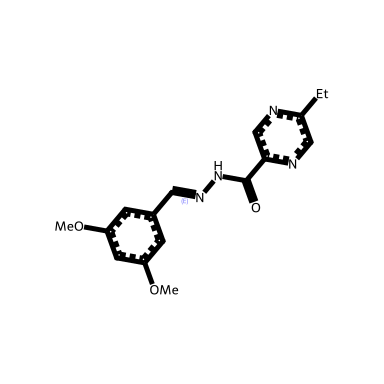 CCc1cnc(C(=O)N/N=C/c2cc(OC)cc(OC)c2)cn1